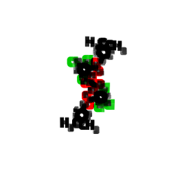 CC1(C)CCC(COC(=O)c2c(Cl)c(Cl)cc(Cl)c2OC(=O)C(=O)Oc2c(Cl)cc(Cl)c(Cl)c2C(=O)OCC2CCC(C)(C)CC2)CC1